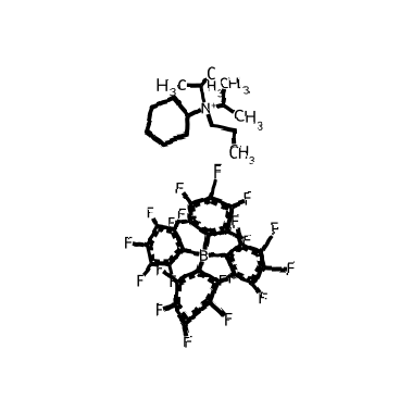 CCC[N+](C(C)C)(C(C)C)C1CCCCC1.Fc1c(F)c(F)c([B-](c2c(F)c(F)c(F)c(F)c2F)(c2c(F)c(F)c(F)c(F)c2F)c2c(F)c(F)c(F)c(F)c2F)c(F)c1F